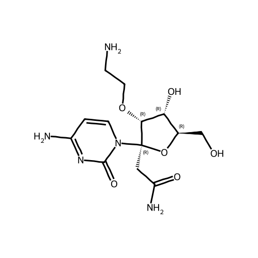 NCCO[C@@H]1[C@H](O)[C@@H](CO)O[C@@]1(CC(N)=O)n1ccc(N)nc1=O